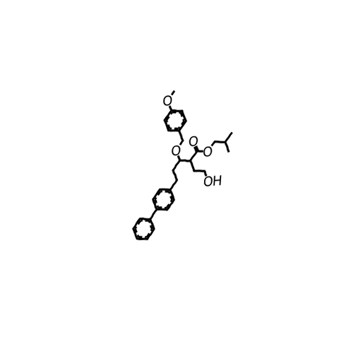 COc1ccc(COC(CCc2ccc(-c3ccccc3)cc2)C(CCO)C(=O)OCC(C)C)cc1